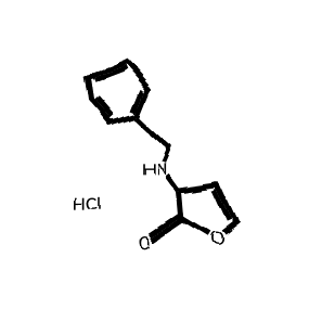 Cl.O=C1OC=CC1NCc1ccccc1